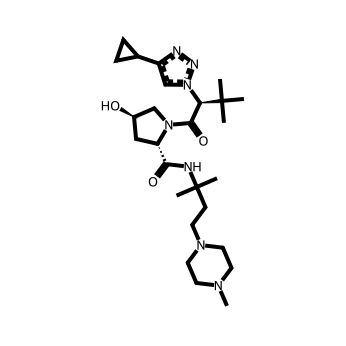 CN1CCN(CCC(C)(C)NC(=O)[C@@H]2C[C@@H](O)CN2C(=O)[C@@H](n2cc(C3CC3)nn2)C(C)(C)C)CC1